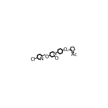 CC(=O)N1CCC[C@H]1COc1ccc(-n2ccc(OCc3ccc(Cl)cn3)cc2=O)cc1